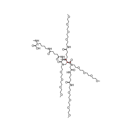 CN[C@@H](CCCCNC(=O)CCCC(=O)N[C@@H](CCC(=O)N(CCOCCOCCOCCOC)CC(=O)NCCCC(=O)NCCOCCOCCOCCOC)C(=O)N(CCOCCOCCOCCOC)CC(=O)NCCCC(=O)NCCOCCOCCOCCOC)C(=O)O